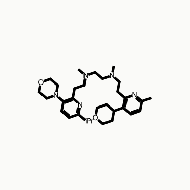 Cc1ccc(C2CCOCC2)c(CCN(C)CCN(C)CCc2nc(C(C)C)ccc2N2CCOCC2)n1